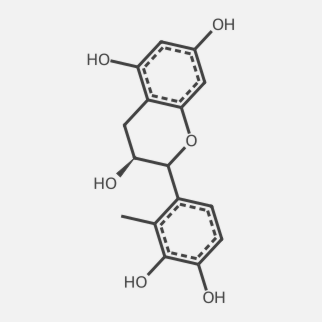 Cc1c(C2Oc3cc(O)cc(O)c3C[C@@H]2O)ccc(O)c1O